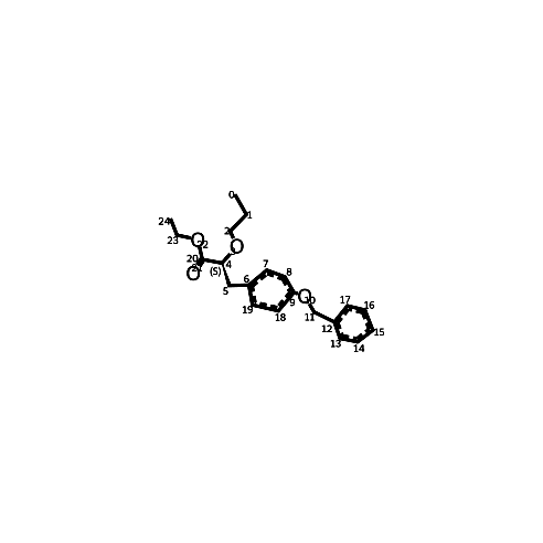 CCCO[C@@H](Cc1ccc(OCc2ccccc2)cc1)C(=O)OCC